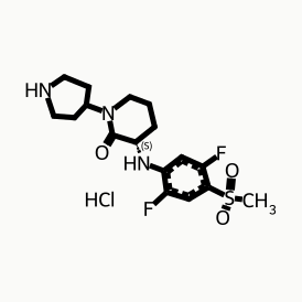 CS(=O)(=O)c1cc(F)c(N[C@H]2CCCN(C3CCNCC3)C2=O)cc1F.Cl